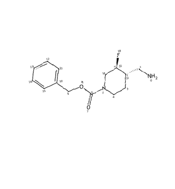 NC[C@@H]1CCN(C(=O)OCc2ccccc2)C[C@H]1F